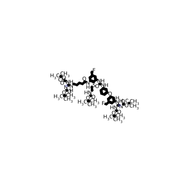 CC(C)(C)OC(=O)/N=C(\NCCCCC(=O)Nc1cc(CF)cc(NC(=O)Nc2cccc(Oc3cc(CF)cc(N/C(=N\C(=O)OC(C)(C)C)NC(=O)OC(C)(C)C)c3)c2)c1SCCNC(=O)OC(C)(C)C)NC(=O)OC(C)(C)C